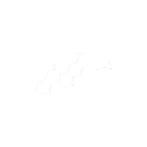 CC(Nc1ncnc2cc(OCC3CC3)c(N)cc12)c1ccccc1